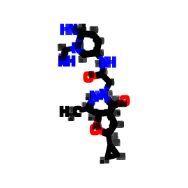 Cc1nn(CC(=O)Nc2ccc(=N)n(C=N)c2)c(=O)c2cc(C3CC3)oc12